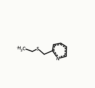 [CH2]CSCc1ccccn1